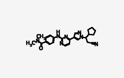 CN(C)C(=O)c1ccc(Nc2nccc(-c3cnn(C(CC#N)C4CCCC4)c3)n2)cc1